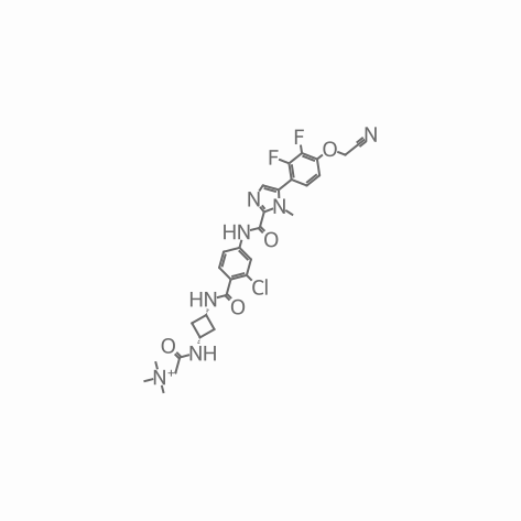 Cn1c(-c2ccc(OCC#N)c(F)c2F)cnc1C(=O)Nc1ccc(C(=O)N[C@H]2C[C@@H](NC(=O)C[N+](C)(C)C)C2)c(Cl)c1